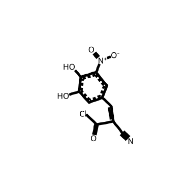 N#CC(=Cc1cc(O)c(O)c([N+](=O)[O-])c1)C(=O)Cl